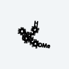 COc1ccc(Cn2nc(CCC3CCNCC3)c3c(NC4CCCCC4)nccc32)cc1